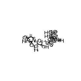 COP(=O)(OC[C@H]1O[C@@H](n2ccc(=O)[nH]c2=O)[C@H](O)[C@@H]1O)OP(=O)(O)OP(=O)(O)O